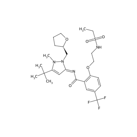 CCS(=O)(=O)NCCOc1ccc(C(F)(F)F)cc1C(=O)/N=c1\cc(C(C)(C)C)n(C)n1C[C@H]1CCCO1